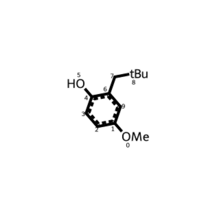 COc1ccc(O)c(CC(C)(C)C)c1